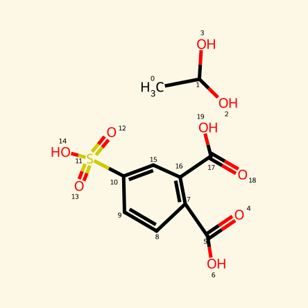 CC(O)O.O=C(O)c1ccc(S(=O)(=O)O)cc1C(=O)O